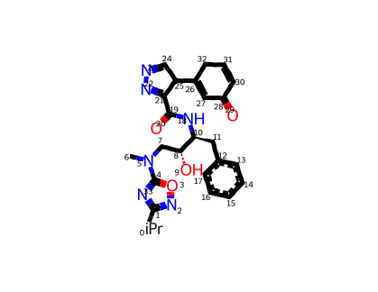 CC(C)c1noc(N(C)C[C@@H](O)[C@H](Cc2ccccc2)NC(=O)C2=NN=CC2C2=CC(=O)C=CC2)n1